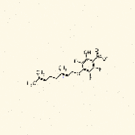 CC(C)=CCC/C(C)=C/COc1c(F)c(O)c([N+](=O)[O-])c(F)c1F